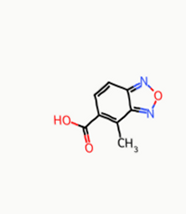 Cc1c(C(=O)O)ccc2nonc12